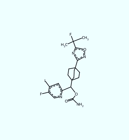 CC(C)(F)c1nc(C23CCC(C(OC(N)=O)c4cc(I)c(F)cn4)(CC2)CC3)no1